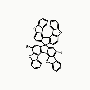 Brc1cc2c(c3c1oc1ccccc13)-c1c(cc(Br)c3c1oc1ccccc13)C21c2ccc3oc4ccccc4c3c2-c2c1ccc1oc3ccccc3c21